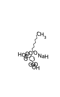 CCCCCCCCC(=O)Oc1ccc(S(=O)(=O)O)cc1S(=O)(=O)O.[NaH]